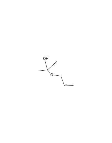 C=CCOC(C)(C)O